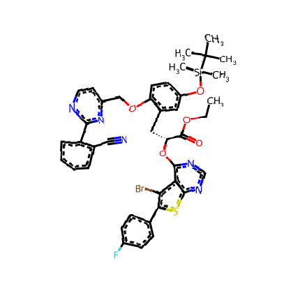 CCOC(=O)[C@@H](Cc1cc(O[Si](C)(C)C(C)(C)C)ccc1OCc1ccnc(-c2ccccc2C#N)n1)Oc1ncnc2sc(-c3ccc(F)cc3)c(Br)c12